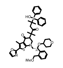 COCc1ccccc1[C@H](CN1CC(C(C)(C)C(=O)CC(C)(C)[Si](O)(c2ccccc2)c2ccccc2)C(=O)c2c1sc(-c1ncco1)c2C)OC1CCOCC1